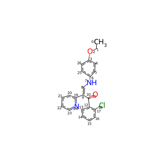 CCOc1ccc(N/C=C(\C(=O)c2ccccc2Cl)c2ccccn2)cc1